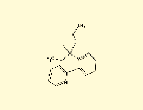 CCCC(I)(CC)c1ccccc1-c1ccccn1